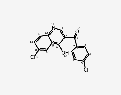 O=C(c1ccc(Cl)cc1)c1cnc2ccc(Cl)cc2c1O